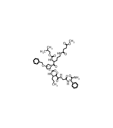 CCCC(NC(=O)[C@@H]1C[C@@H](OCc2ccccc2)CN1C(=O)C(CCCNC(=O)CCC(=O)OC)NC(=O)OCC(C)C)C(=O)C(=O)NCC(=O)N[C@H](C(N)=O)c1ccccc1